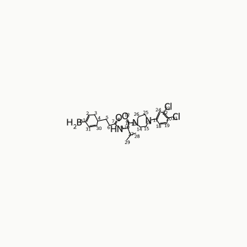 BC1=CCC(CCC(=O)N[C@@H](C(=O)N2CCN(c3ccc(Cl)c(Cl)c3)CC2)C(C)C)C=C1